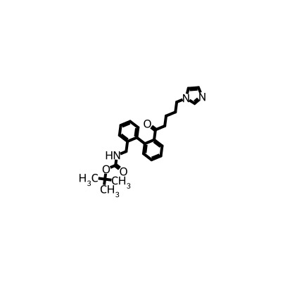 CC(C)(C)OC(=O)NCc1ccccc1-c1ccccc1C(=O)CCCCn1ccnc1